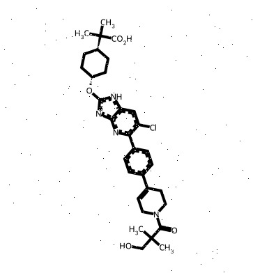 CC(C)(CO)C(=O)N1CC=C(c2ccc(-c3nc4nc(O[C@H]5CC[C@H](C(C)(C)C(=O)O)CC5)[nH]c4cc3Cl)cc2)CC1